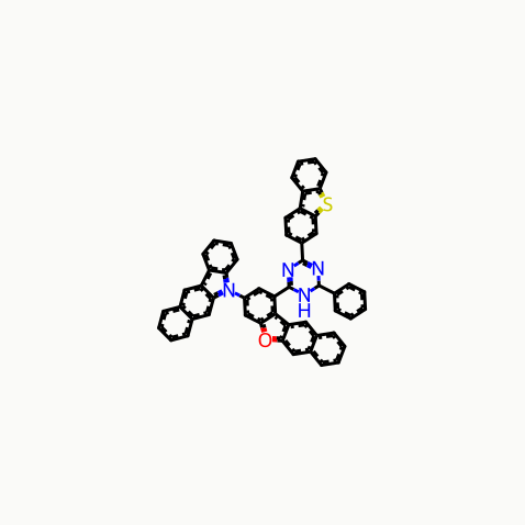 c1ccc(C2N=C(c3ccc4c(c3)sc3ccccc34)N=C(c3cc(-n4c5ccccc5c5cc6ccccc6cc54)cc4oc5cc6ccccc6cc5c34)N2)cc1